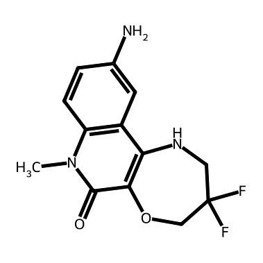 Cn1c(=O)c2c(c3cc(N)ccc31)NCC(F)(F)CO2